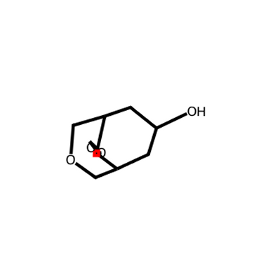 OC1CC2COCC(C1)C21OCCO1